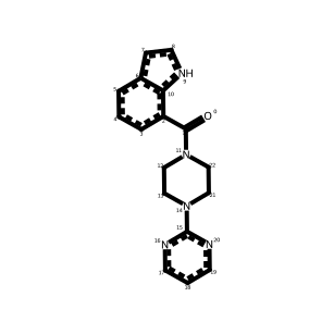 O=C(c1cccc2cc[nH]c12)N1CCN(c2ncccn2)CC1